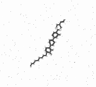 C/C=C/C1COC(c2ccc(-c3ccc(-c4ccc(CCCCCCCCC)c(F)c4F)cc3)cc2F)OC1